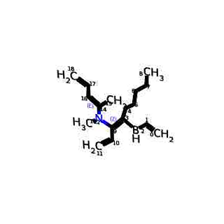 C=CB/C(CCCCC)=C(\C=C)N(C)/C(C)=C/C=C